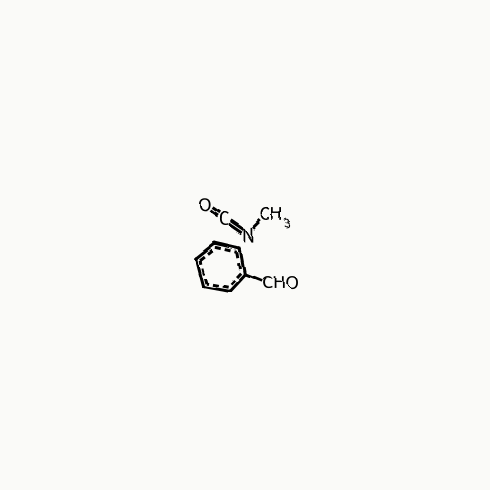 CN=C=O.O=Cc1ccccc1